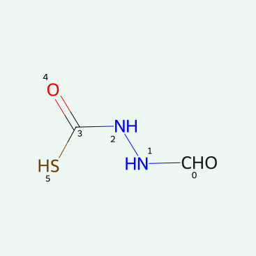 O=CNNC(=O)S